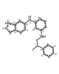 CC(CNc1ccnc(Nc2ccc3cn[nH]c3c2)n1)c1ccccc1